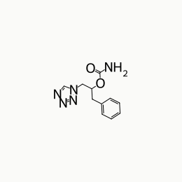 NC(=O)OC(Cc1ccccc1)Cn1cnnn1